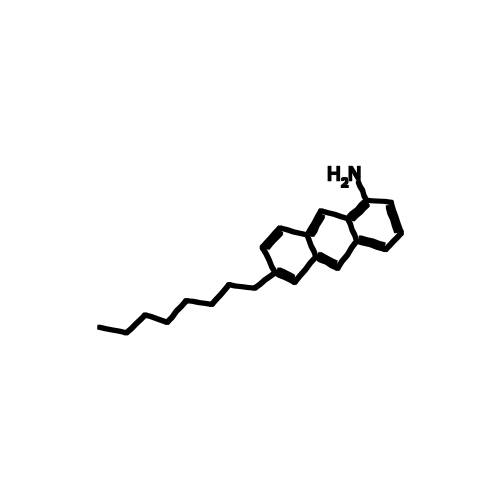 CCCCCCCCc1ccc2cc3c(N)cccc3cc2c1